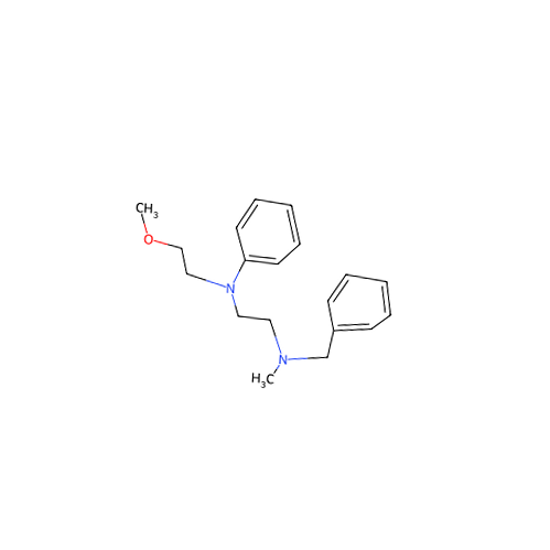 COCCN(CCN(C)Cc1ccccc1)c1ccccc1